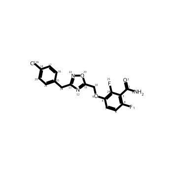 NC(=O)c1c(F)ccc(OCc2nc(Cc3ccc(Cl)cc3)no2)c1F